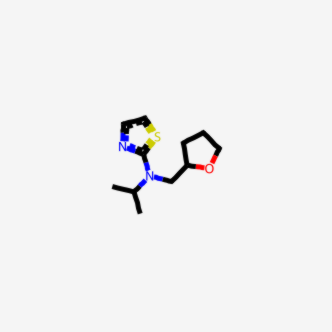 CC(C)N(CC1CCCO1)c1nccs1